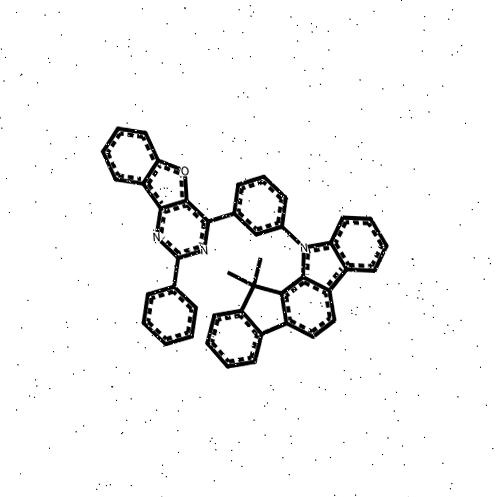 CC1(C)c2ccccc2-c2ccc3c4ccccc4n(-c4cccc(-c5nc(-c6ccccc6)nc6c5oc5ccccc56)c4)c3c21